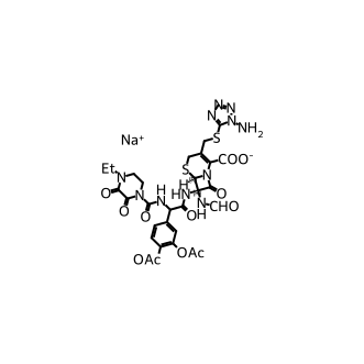 CCN1CCN(C(=O)NC(C(=O)N[C@]2(NC=O)C(=O)N3C(C(=O)[O-])=C(CSc4nnnn4N)CS[C@@H]32)c2ccc(OC(C)=O)c(OC(C)=O)c2)C(=O)C1=O.[Na+]